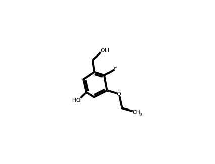 CCOc1cc(O)cc(CO)c1F